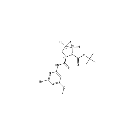 COc1cc(Br)nc(NC(=O)[C@H]2C[C@H]3C[C@H]3N2C(=O)OC(C)(C)C)c1